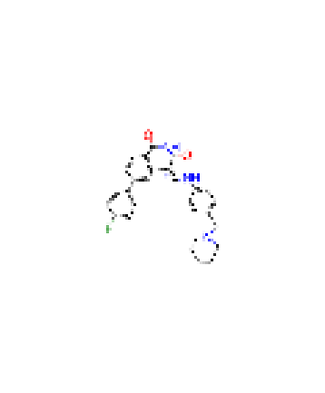 O=C1NC(=O)c2ccc(-c3ccc(F)cc3)cc2/C1=C/Nc1ccc(CN2CCCCC2)cc1